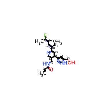 C=CC(=O)NCc1cnc(/C(C=C)=C/C=C(\C)F)cc1-c1cc(CO)[nH]n1